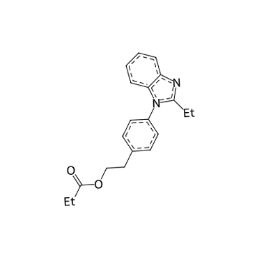 CCC(=O)OCCc1ccc(-n2c(CC)nc3ccccc32)cc1